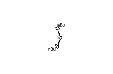 CCCCc1ccc(C#Cc2ccc(C#Cc3ccc(CCCC)s3)s2)s1